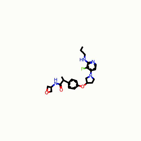 CCCNc1nccc(N2CCC(Oc3ccc(C(C)C(=O)NC4COC4)cc3)C2)c1F